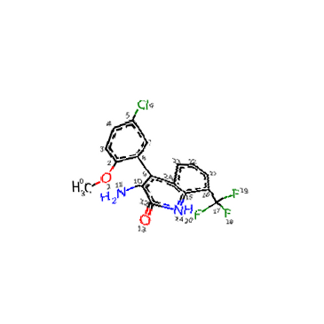 COc1ccc(Cl)cc1-c1c(N)c(=O)[nH]c2c(C(F)(F)F)cccc12